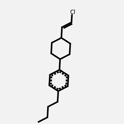 CCCCc1ccc(C2CCC(/C=C/Cl)CC2)cc1